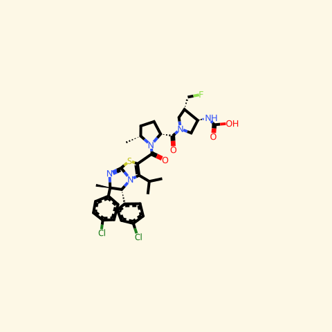 CC(C)C1=C(C(=O)N2[C@H](C)CC[C@@H]2C(=O)N2C[C@H](CF)[C@H](NC(=O)O)C2)SC2=N[C@@](C)(c3ccc(Cl)cc3)[C@@H](c3ccc(Cl)cc3)N21